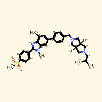 Cc1cc(-c2ccc(CN3C[C@@H]4CN(CC(C)C)C[C@@H]4C3)cc2)cc2c1nc(-c1ccc(S(C)(=O)=O)cc1)n2C